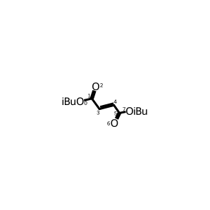 CC(C)COC(=O)C=CC(=O)OCC(C)C